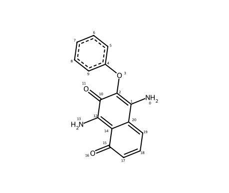 NC1=C(Oc2ccccc2)C(=O)C(N)=C2C(=O)C=CC=C12